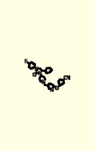 N#Cc1ccc(Oc2ccc(CN3CCC(N4C(=O)N(c5ccc(F)cc5)CC4c4ccccc4)CC3)cn2)cc1